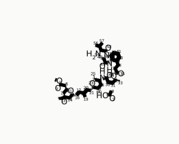 CC(=O)O.COC(=O)C[C@@H]1C[C@@]2(CO2)C[C@@H](/C=C/C(C)=C/C[C@@H]2O[C@H](C)[C@H](NC(=O)/C=C\[C@H](C)OC(=O)CCc3ccccc3NC(=O)[C@H](C)NC(=O)[C@@H](N)C(C)C)C[C@@H]2C)O1